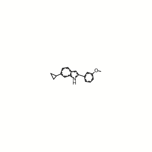 COc1cccc(-c2cc3ccc(C4CC4)cc3[nH]2)c1